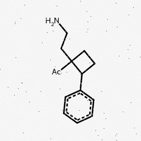 CC(=O)C1(CCN)CCC1c1ccccc1